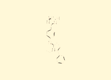 CCn1c(-c2ccccc2)csc1=Nc1ccc(-c2nn[nH]n2)cc1